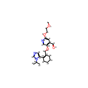 COCCOc1cc(C=O)c(OCC2=C(c3cncn3C(C)C)CCCC2)cn1